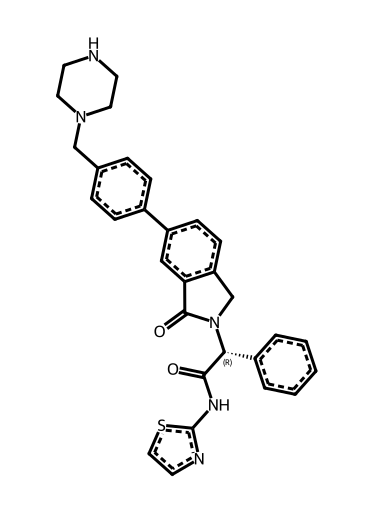 O=C(Nc1nccs1)[C@@H](c1ccccc1)N1Cc2ccc(-c3ccc(CN4CCNCC4)cc3)cc2C1=O